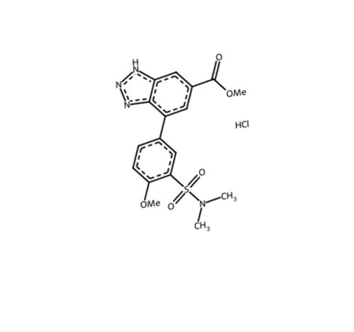 COC(=O)c1cc(-c2ccc(OC)c(S(=O)(=O)N(C)C)c2)c2nn[nH]c2c1.Cl